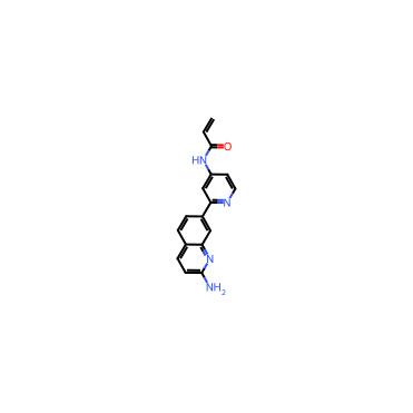 C=CC(=O)Nc1ccnc(-c2ccc3ccc(N)nc3c2)c1